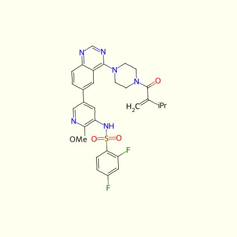 C=C(C(=O)N1CCN(c2ncnc3ccc(-c4cnc(OC)c(NS(=O)(=O)c5ccc(F)cc5F)c4)cc23)CC1)C(C)C